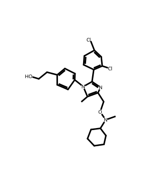 Cc1c(CON(C)C2CCCCC2)nc(-c2ccc(Cl)cc2Cl)n1-c1ccc(CCO)cc1